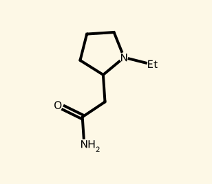 CCN1CCCC1CC(N)=O